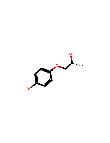 CC[C@@H](O)COc1ccc(Br)cc1